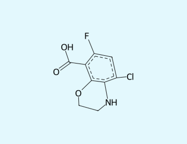 O=C(O)c1c(F)cc(Cl)c2c1OCCN2